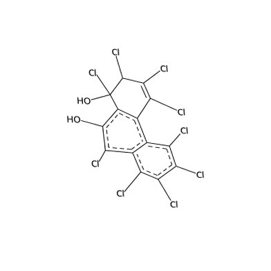 Oc1c2c(c3c(Cl)c(Cl)c(Cl)c(Cl)c3c1Cl)C(Cl)=C(Cl)C(Cl)C2(O)Cl